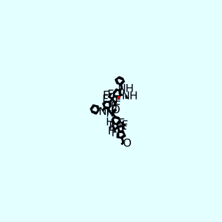 CNc1cc(C(c2ccc(Nc3ccccc3)c(NC(=O)c3ccc(C(c4ccc(C(C)=O)cc4)(C(F)(F)F)C(F)(F)F)cc3)c2)(C(F)(F)F)C(F)(F)F)ccc1Nc1ccccc1